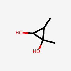 CC1C(O)C1(C)O